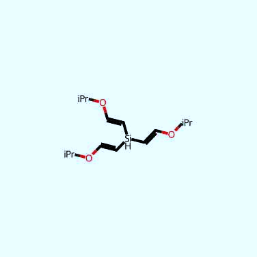 CC(C)OC=C[SiH](C=COC(C)C)C=COC(C)C